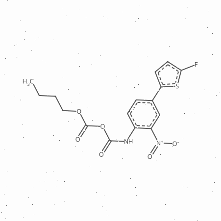 CCCCOC(=O)OC(=O)Nc1ccc(-c2ccc(F)s2)cc1[N+](=O)[O-]